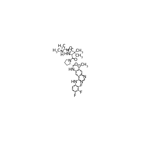 CN[C@@H](C)C(=O)N[C@H](C(=O)N1CCC[C@H]1C(=O)Nc1cc2c(Nc3ccc(F)c(F)c3F)ncnc2cc1OC)C(C)(C)C